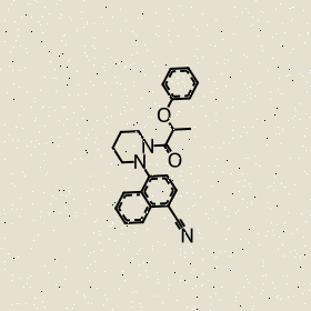 CC(Oc1ccccc1)C(=O)N1CCCCN1c1ccc(C#N)c2ccccc12